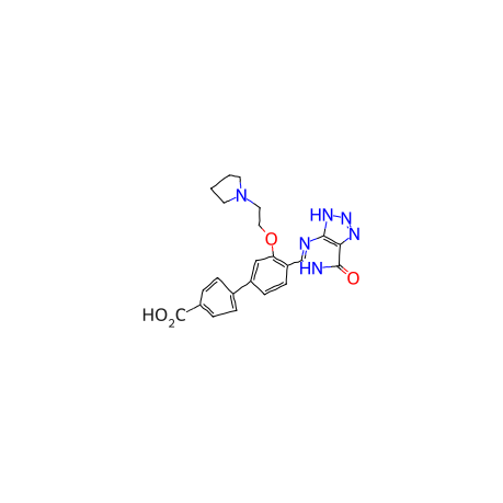 O=C(O)c1ccc(-c2ccc(-c3nc4[nH]nnc4c(=O)[nH]3)c(OCCN3CCCC3)c2)cc1